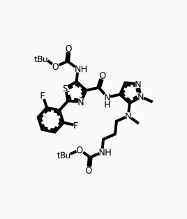 CN(CCCNC(=O)OC(C)(C)C)c1c(NC(=O)c2nc(-c3c(F)cccc3F)sc2NC(=O)OC(C)(C)C)cnn1C